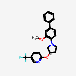 COc1cc(-c2ccccc2)ccc1N1CC[C@@H](Oc2ccc(C(F)(F)F)cn2)C1